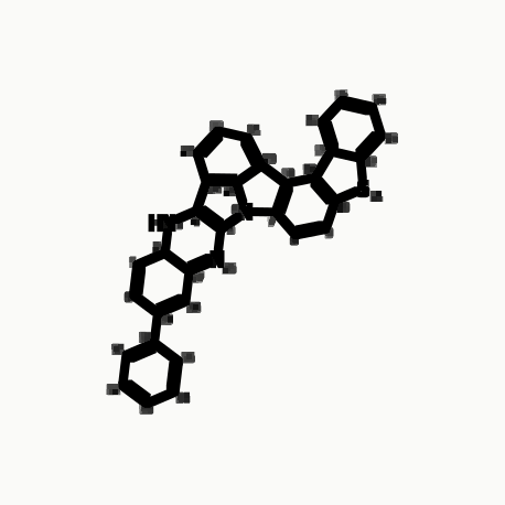 C1=CC2Nc3c(n4c5ccc6sc7ccccc7c6c5c5cccc3c54)N=C2C=C1c1ccccc1